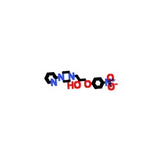 O=[N+]([O-])c1ccc(OCC(O)CN2CCN(c3ccccn3)CC2)cc1